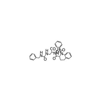 O=C(NCc1ccccc1)NCC(NC(=O)C1CCc2ccccc2N1S(=O)(=O)c1ccccc1)C(=O)O